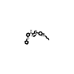 CCCCNCC1CCC(c2ncc3c(Nc4cccc(OCc5ccccc5)c4)nccn23)CC1